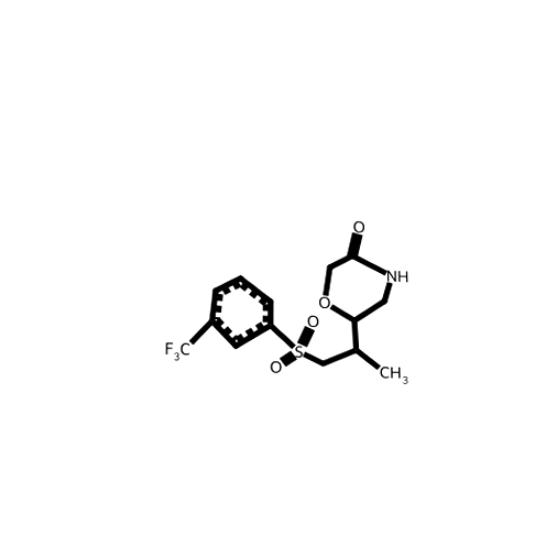 CC(CS(=O)(=O)c1cccc(C(F)(F)F)c1)C1CNC(=O)CO1